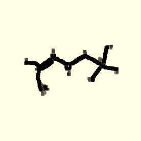 CC/C(C)=N\OC[Si](C)(C)C